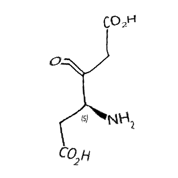 N[C@@H](CC(=O)O)C(=O)CC(=O)O